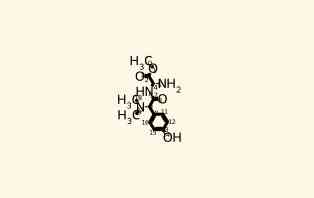 COC(=O)[C@H](N)NC(=O)[C@H](c1ccc(O)cc1)N(C)C